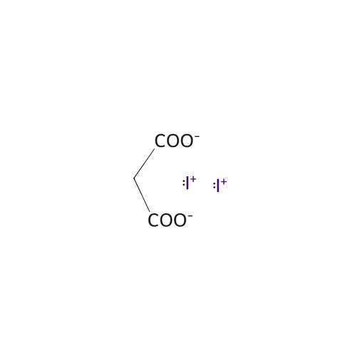 O=C([O-])CC(=O)[O-].[I+].[I+]